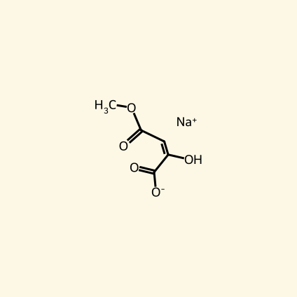 COC(=O)/C=C(/O)C(=O)[O-].[Na+]